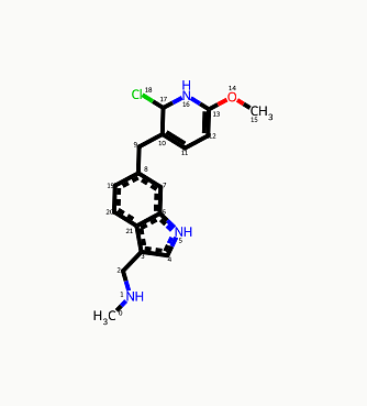 CNCc1c[nH]c2cc(CC3=CC=C(OC)NC3Cl)ccc12